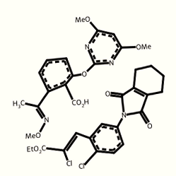 CCOC(=O)/C(Cl)=C/c1cc(N2C(=O)C3=C(CCCC3)C2=O)ccc1Cl.CON=C(C)c1cccc(Oc2nc(OC)cc(OC)n2)c1C(=O)O